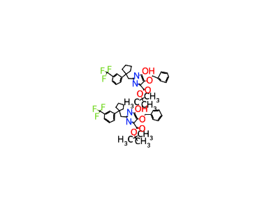 CC(C)(C)OC(=O)c1nc(CC2(c3cccc(C(F)(F)F)c3)CCCC2)nc(O)c1OCc1ccccc1.CC(C)(C)OC(=O)c1nc(CC2(c3cccc(C(F)(F)F)c3)CCCC2)nc(O)c1OCc1ccccc1